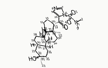 CN(C)S(=O)(=O)n1cncc1C(=O)[C@H]1CC[C@H]2[C@@H]3CC[C@@H]4C[C@](C)(O)CC[C@@H]4[C@H]3CC[C@]12C